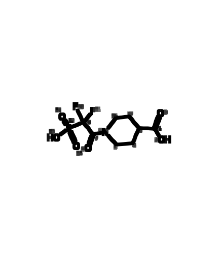 O=C(O)C1CCN(C(=O)C(F)(F)S(=O)(=O)O)CC1